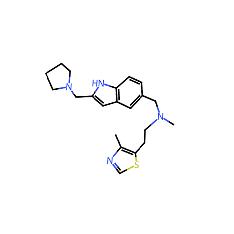 Cc1ncsc1CCN(C)Cc1ccc2[nH]c(CN3CCCC3)cc2c1